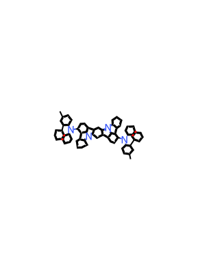 Cc1ccc(N(c2ccccc2)c2ccc3c4cc5c(cc4n4c6ccccc6c2c34)c2ccc(N(c3ccccc3)c3ccc(C)cc3-c3ccccc3)c3c4ccccc4n5c23)c(-c2ccccc2)c1